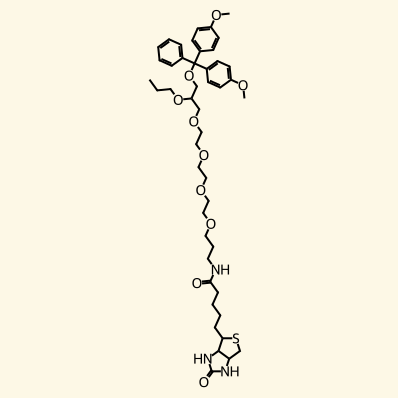 CCCOC(COCCOCCOCCOCCCNC(=O)CCCCC1SCC2NC(=O)NC21)COC(c1ccccc1)(c1ccc(OC)cc1)c1ccc(OC)cc1